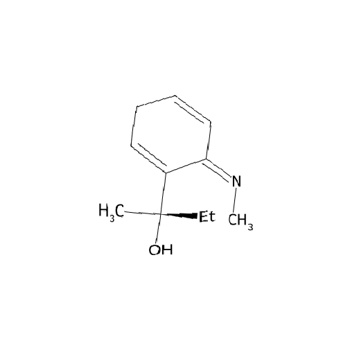 CC[C@](C)(O)C1=CCC=C/C1=N/C